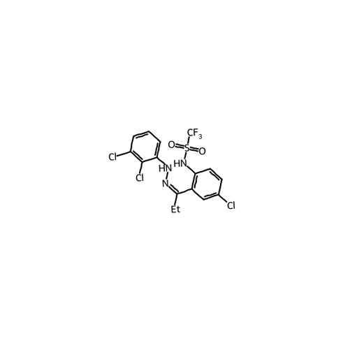 CCC(=NNc1cccc(Cl)c1Cl)c1cc(Cl)ccc1NS(=O)(=O)C(F)(F)F